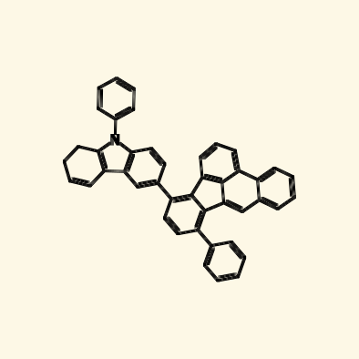 C1=Cc2c(n(-c3ccccc3)c3ccc(-c4ccc(-c5ccccc5)c5c4-c4cccc6c4c-5cc4ccccc46)cc23)CC1